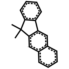 CC1(C)c2[c]c3ccccc3cc2-c2ccccc21